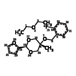 CCOCC.C[C@]1(OCc2ccccc2F)CO[C@H](c2ccco2)OC1